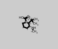 CN[C@@H]1CCCN(C(=O)O)C1C(C)(C)C